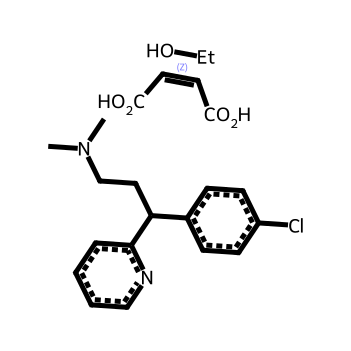 CCO.CN(C)CCC(c1ccc(Cl)cc1)c1ccccn1.O=C(O)/C=C\C(=O)O